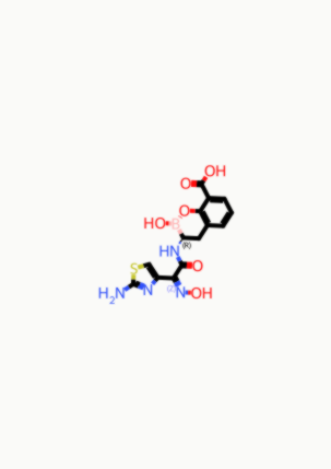 Nc1nc(/C(=N/O)C(=O)N[C@H]2Cc3cccc(C(=O)O)c3OB2O)cs1